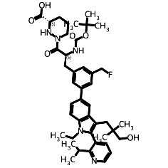 CCn1c(-c2cccnc2C(C)C)c(CC(C)(C)CO)c2cc(-c3cc(CF)cc(C[C@H](NC(=O)OC(C)(C)C)C(=O)N4CCC[C@@H](C(=O)O)N4)c3)ccc21